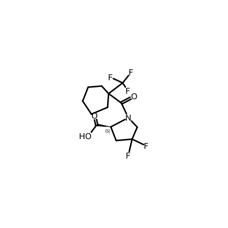 O=C(O)[C@@H]1CC(F)(F)CN1C(=O)C1(C(F)(F)F)CCCCC1